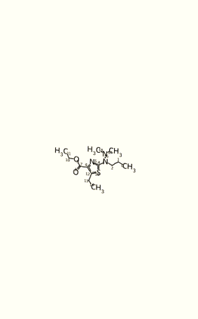 CCCN(c1nc(C(=O)OCC)c(CC)s1)N(C)C